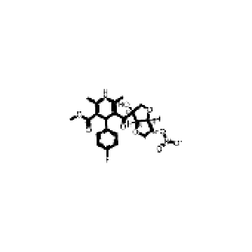 COC(=O)C1=C(C)NC(C)=C(C(=O)[C@]2(O)CO[C@@H]3[C@H](O[N+](=O)[O-])CO[C@@H]32)C1c1ccc(F)cc1